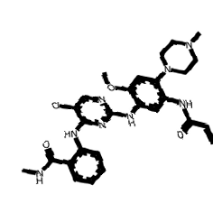 C=CC(=O)Nc1cc(Nc2ncc(Cl)c(Nc3ccccc3C(=O)NC)n2)c(OC)cc1N1CCN(C)CC1